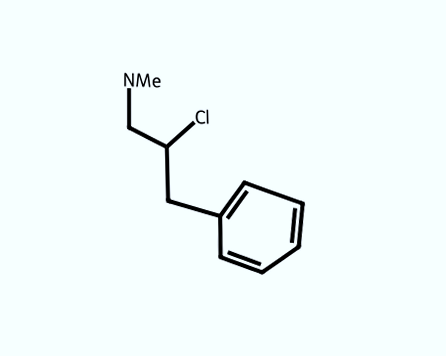 CNCC(Cl)Cc1ccccc1